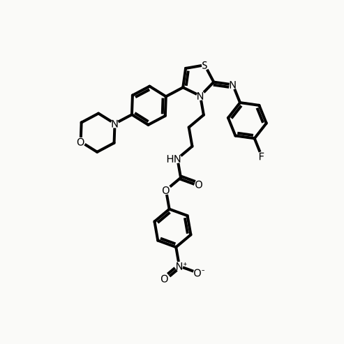 O=C(NCCCn1c(-c2ccc(N3CCOCC3)cc2)cs/c1=N/c1ccc(F)cc1)Oc1ccc([N+](=O)[O-])cc1